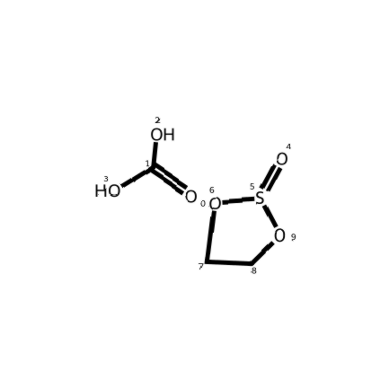 O=C(O)O.O=S1OCCO1